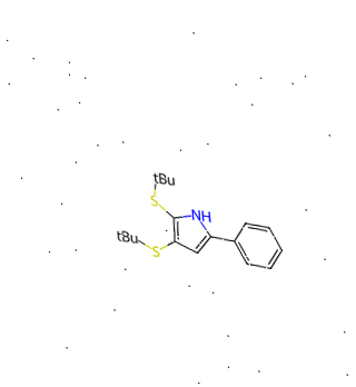 CC(C)(C)Sc1cc(-c2ccccc2)[nH]c1SC(C)(C)C